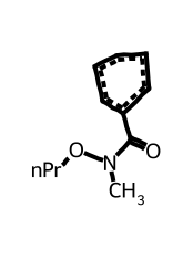 CCCON(C)C(=O)c1ccccc1